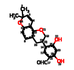 CC1(C)C=Cc2c(ccc3c2OC[C@@H](c2cc(C=O)c(O)cc2O)C3)O1